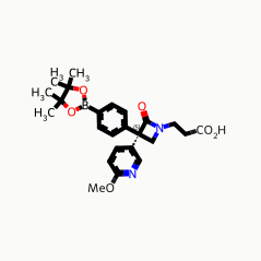 COc1ccc([C@@]2(c3ccc(B4OC(C)(C)C(C)(C)O4)cc3)CN(CCC(=O)O)C2=O)cn1